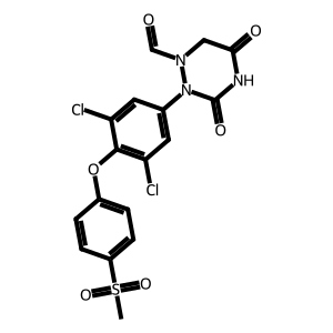 CS(=O)(=O)c1ccc(Oc2c(Cl)cc(N3C(=O)NC(=O)CN3C=O)cc2Cl)cc1